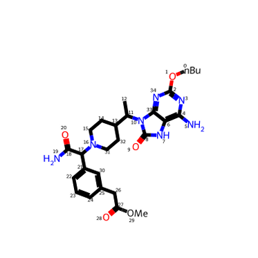 CCCCOc1nc(N)c2[nH]c(=O)n(C(C)C3CCN(C(C(N)=O)c4cccc(CC(=O)OC)c4)CC3)c2n1